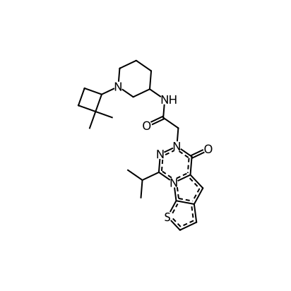 CC(C)c1nn(CC(=O)NC2CCCN(C3CCC3(C)C)C2)c(=O)c2cc3ccsc3n12